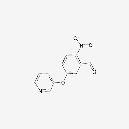 O=Cc1cc(Oc2cccnc2)ccc1[N+](=O)[O-]